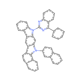 c1ccc(-c2nc(-n3c4ccccc4c4cc5c6ccc7ccccc7c6n(-c6ccc7ccccc7c6)c5cc43)nc3ccccc23)cc1